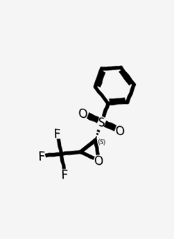 O=S(=O)(c1ccccc1)[C@@H]1OC1C(F)(F)F